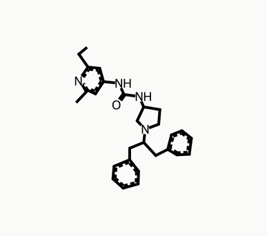 CCc1cc(NC(=O)NC2CCN(C(Cc3ccccc3)Cc3ccccc3)C2)cc(C)n1